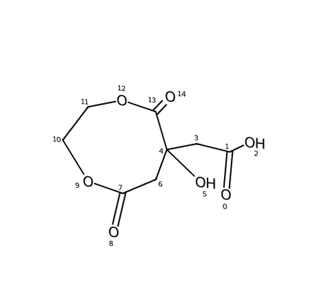 O=C(O)CC1(O)CC(=O)OCCOC1=O